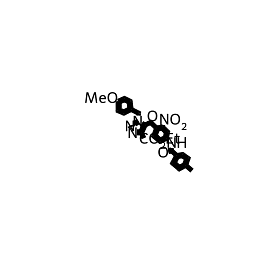 CCOC(=O)c1nnn(Cc2ccc(OC)cc2)c1C(=O)c1ccc(NC(=O)c2ccc(C)cc2)cc1[N+](=O)[O-]